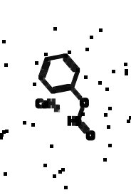 O=[SH]Oc1ccccc1.[CaH2]